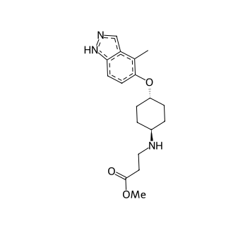 COC(=O)CCN[C@H]1CC[C@H](Oc2ccc3[nH]ncc3c2C)CC1